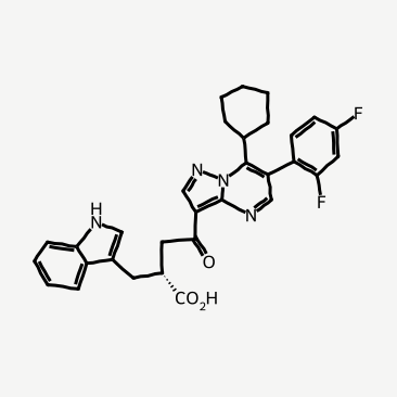 O=C(C[C@@H](Cc1c[nH]c2ccccc12)C(=O)O)c1cnn2c(C3CCCCC3)c(-c3ccc(F)cc3F)cnc12